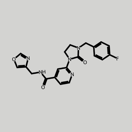 O=C(NCc1cocn1)c1ccnc(N2CCN(Cc3ccc(F)cc3)C2=O)c1